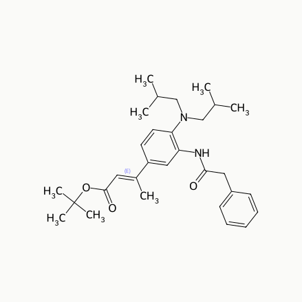 C/C(=C\C(=O)OC(C)(C)C)c1ccc(N(CC(C)C)CC(C)C)c(NC(=O)Cc2ccccc2)c1